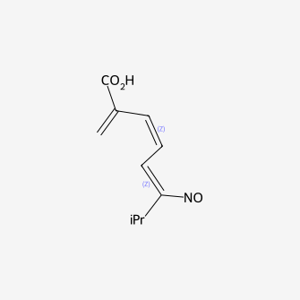 C=C(/C=C\C=C(/N=O)C(C)C)C(=O)O